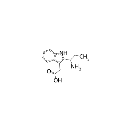 CCC(N)c1[nH]c2ccccc2c1CC(=O)O